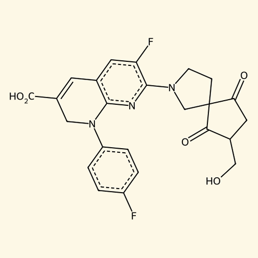 O=C(O)C1=Cc2cc(F)c(N3CCC4(C3)C(=O)CC(CO)C4=O)nc2N(c2ccc(F)cc2)C1